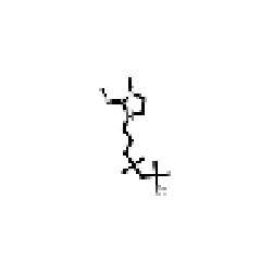 CCC(C)(C)CC(C)(C)CCCN1CCN(C)/C1=N\C